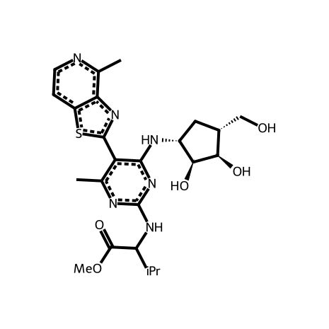 COC(=O)C(Nc1nc(C)c(-c2nc3c(C)nccc3s2)c(N[C@@H]2C[C@H](CO)[C@@H](O)[C@H]2O)n1)C(C)C